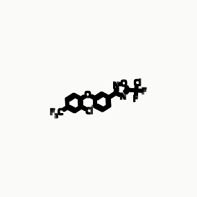 FC(F)(F)c1ccc(Oc2[c]ccc(-c3noc(C(F)(F)Cl)n3)c2)c(Cl)c1